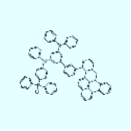 O=P(c1ccccc1)(c1ccccc1)c1ccc(N(c2ccccc2)c2cc(-c3cccc(-c4cccc5c4-c4ccc6cccc7c6c4C(C5)c4ccccc4-7)c3)cc(N(c3ccccc3)c3ccccc3)c2)cc1